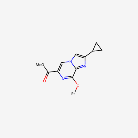 CCOc1nc(C(=O)OC)cn2cc(C3CC3)nc12